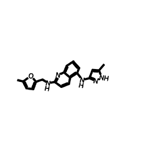 Cc1cc(Nc2cccc3nc(NCc4ccc(C)o4)ccc23)n[nH]1